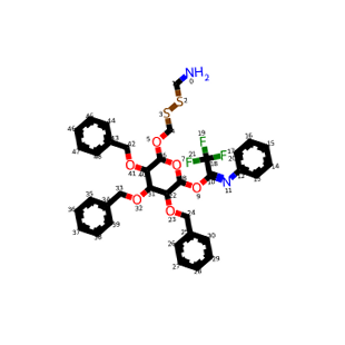 NCSSCOC1OC(O/C(=N/c2ccccc2)C(F)(F)F)C(OCc2ccccc2)C(OCc2ccccc2)C1OCc1ccccc1